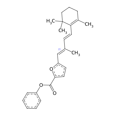 CC1=C(C=C/C(C)=C/c2ccc(C(=O)Oc3ccccc3)o2)C(C)(C)CCC1